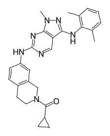 Cc1cccc(C)c1Nc1nn(C)c2nc(Nc3ccc4c(c3)CN(C(=O)C3CC3)CC4)ncc12